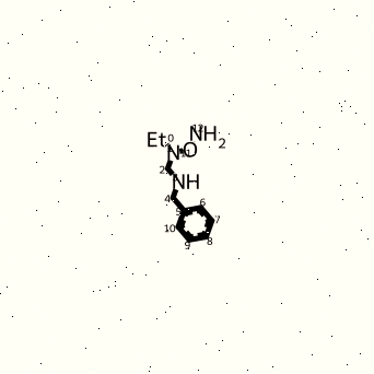 CCN(CNCc1ccccc1)ON